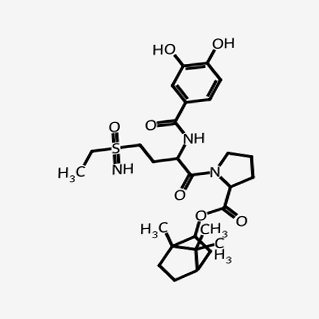 CCS(=N)(=O)CCC(NC(=O)c1ccc(O)c(O)c1)C(=O)N1CCCC1C(=O)OC1CC2CCC1(C)C2(C)C